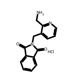 Cl.NCc1ncccc1CN1C(=O)c2ccccc2C1=O